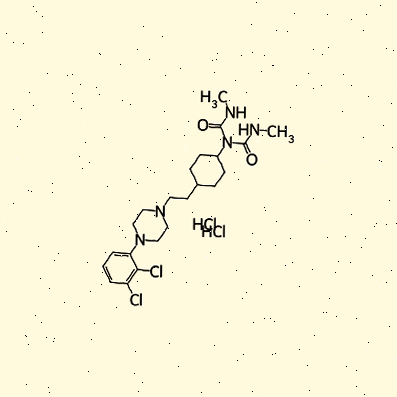 CNC(=O)N(C(=O)NC)C1CCC(CCN2CCN(c3cccc(Cl)c3Cl)CC2)CC1.Cl.Cl